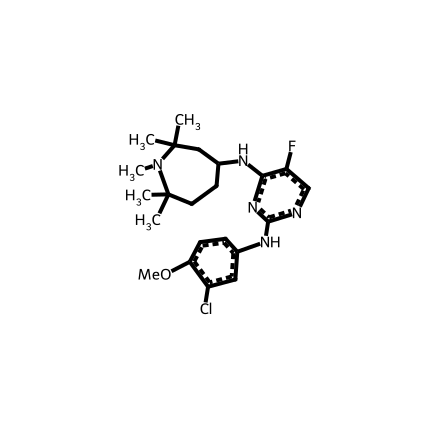 COc1ccc(Nc2ncc(F)c(NC3CCC(C)(C)N(C)C(C)(C)C3)n2)cc1Cl